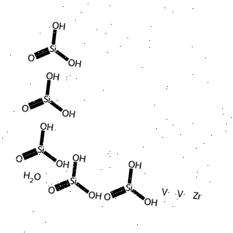 O.O=[Si](O)O.O=[Si](O)O.O=[Si](O)O.O=[Si](O)O.O=[Si](O)O.[V].[V].[Zr]